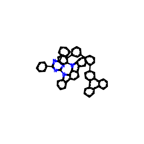 c1ccc(-c2nc(-c3ccccc3)nc(-n3c4ccccc4c4ccc5c6ccccc6n(-c6ccccc6-c6cccc(-c7cccc(-c8ccc9c%10ccccc%10c%10ccccc%10c9c8)c7)c6)c5c43)n2)cc1